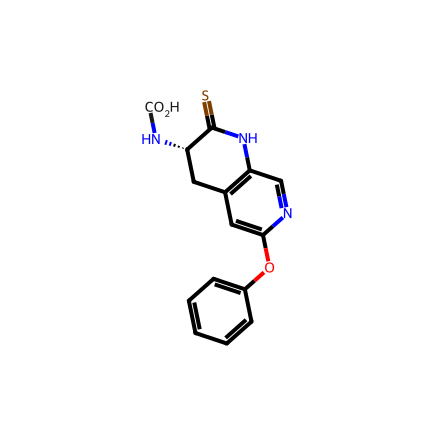 O=C(O)N[C@H]1Cc2cc(Oc3ccccc3)ncc2NC1=S